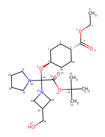 CCOC(=O)[C@H]1CC[C@H](OC(C(=O)OC(C)(C)C)(N2CCCC2)N2CC(CO)C2)CC1